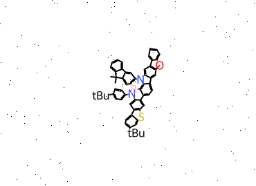 CC(C)(C)c1ccc(N2B3c4cc5c(cc4-n4c6cc7c(cc6c6ccc(c3c64)-c3cc4sc6cc(C(C)(C)C)ccc6c4cc32)oc2ccccc27)-c2ccccc2C5(C)C)cc1